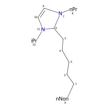 CCCCCCCCCCCCCCC1N(CCC)C=CN1C(C)C